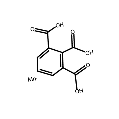 O=C(O)c1cccc(C(=O)O)c1C(=O)O.[Mn]